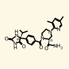 Cc1cnc(N2CCN(C(=O)c3ccc([C@@]4(C(C)C)NC(=O)NC4=O)cc3)[C@H](C(N)=O)C2)c(C)c1